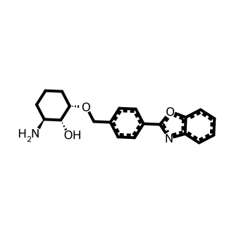 N[C@H]1CCC[C@H](OCc2ccc(-c3nc4ccccc4o3)cc2)[C@@H]1O